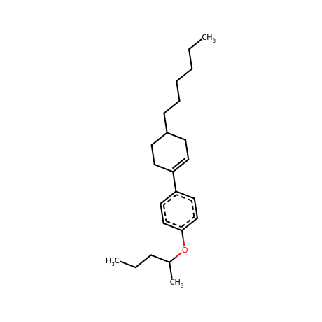 CCCCCCC1CC=C(c2ccc(OC(C)CCC)cc2)CC1